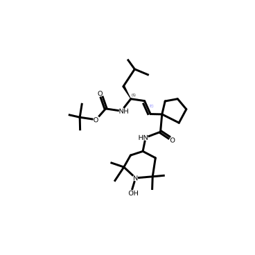 CC(C)C[C@@H](/C=C/C1(C(=O)NC2CC(C)(C)N(O)C(C)(C)C2)CCCC1)NC(=O)OC(C)(C)C